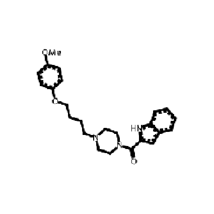 COc1ccc(OCCCCN2CCN(C(=O)c3cc4ccccc4[nH]3)CC2)cc1